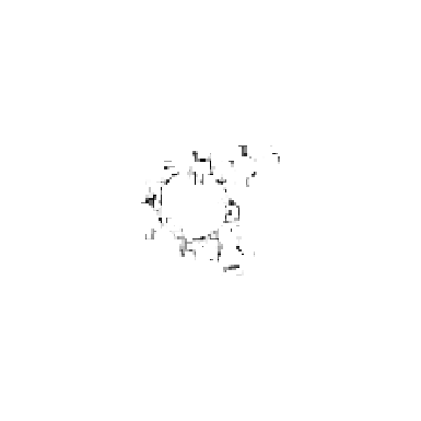 COc1ccc(-c2c3nc(c(I)c4ccc([nH]4)c(I)c4nc(c(-c5ccccc5)c5ccc2s5)C=C4)C=C3)cc1